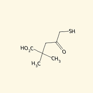 CC(C)(CC(=O)CS)C(=O)O